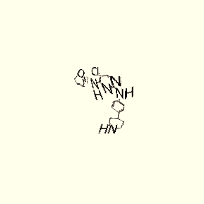 Clc1cnc(Nc2ccc(C3CCNCC3)cc2)nc1NC[C@@H]1CCCO1